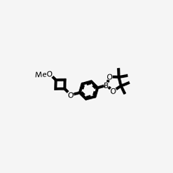 COC1CC(Oc2ccc(B3OC(C)(C)C(C)(C)O3)cc2)C1